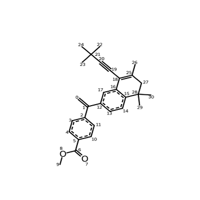 C=C(c1ccc(C(=O)OC)cc1)c1ccc2c(c1)C(C#CC(C)(C)C)=C(C)CC2(C)C